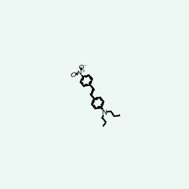 CCCN(CCC)c1ccc(C=Cc2ccc([N+](=O)[O-])cc2)cc1